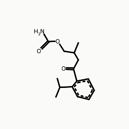 CC(COC(N)=O)CC(=O)c1ccccc1C(C)C